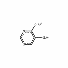 CSc1cncnc1C(=O)O